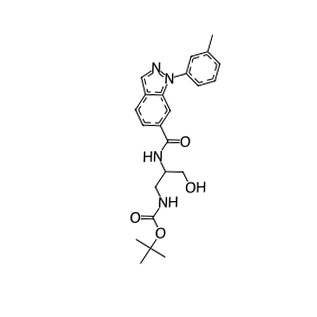 Cc1cccc(-n2ncc3ccc(C(=O)NC(CO)CNC(=O)OC(C)(C)C)cc32)c1